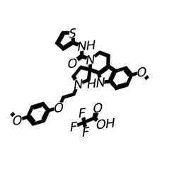 COc1ccc(OCCN2CCC3(C2)c2[nH]c4ccc(OC)cc4c2CCN3C(=O)Nc2cccs2)cc1.O=C(O)C(F)(F)F